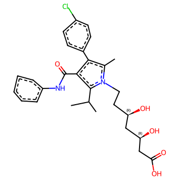 Cc1c(-c2ccc(Cl)cc2)c(C(=O)Nc2ccccc2)c(C(C)C)n1CC[C@@H](O)C[C@@H](O)CC(=O)O